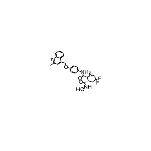 Cc1cc(COc2ccc(NC(=O)[C@@H]3[C@@H](C(=O)NO)CC(F)(F)CN3C)cc2)c2ccccc2n1